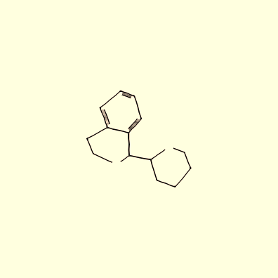 c1ccc2c(c1)CCOC2[C]1CCCCO1